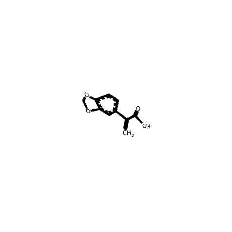 C=C(C(=O)O)c1ccc2c(c1)OCO2